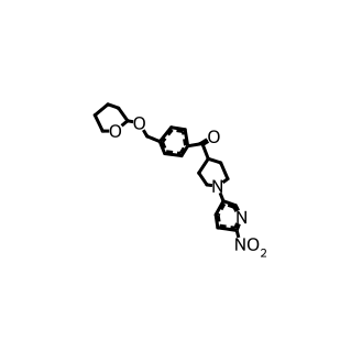 O=C(c1ccc(COC2CCCCO2)cc1)C1CCN(c2ccc([N+](=O)[O-])nc2)CC1